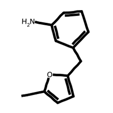 Cc1ccc(Cc2cccc(N)c2)o1